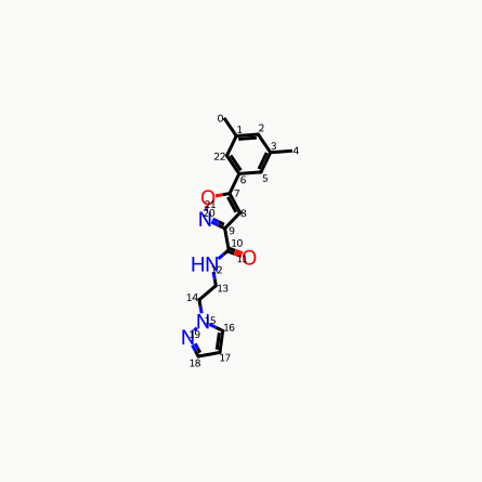 Cc1cc(C)cc(-c2cc(C(=O)NCCn3cccn3)no2)c1